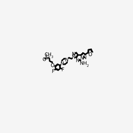 C[S@+]([O-])CCCOc1cc(N2CCN(CCn3ncc4c3nc(N)n3nc(-c5ccco5)cc43)CC2)c(F)cc1F